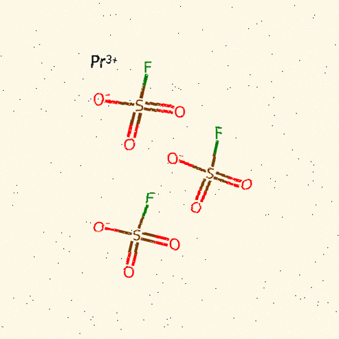 O=S(=O)([O-])F.O=S(=O)([O-])F.O=S(=O)([O-])F.[Pr+3]